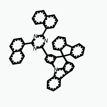 c1ccc2c(c1)-c1ccccc1C21c2cc(-c3nc(-c4cccc5ccccc45)nc(-c4cccc5ccccc45)n3)ccc2-n2c3ccccc3c3cccc1c32